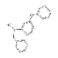 N#C[C](Cc1ccccc1)c1cccc(Oc2ccccc2)c1